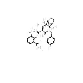 NC(=O)c1c[c]cc2c1NC(C1=C(O)[C@@H]3[C@H]4CC[C@H](C4)[C@@H]3N(Cc3ccc(F)cc3)C1=O)=NS2(=O)=O